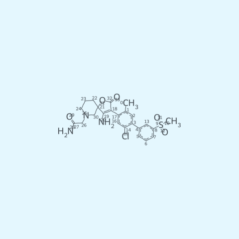 Cc1cc(-c2cccc(S(C)(=O)=O)c2)c(Cl)cc1C1=C(N)C2(CCCN(CC(N)=O)C2)OC1=O